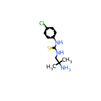 CC(C)(N)CNC(=S)Nc1ccc(Cl)cc1